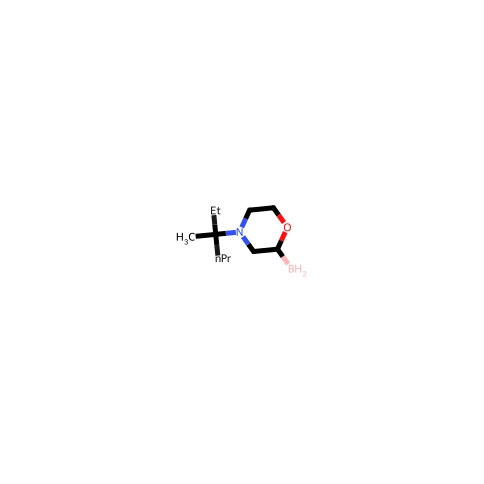 BC1CN(C(C)(CC)CCC)CCO1